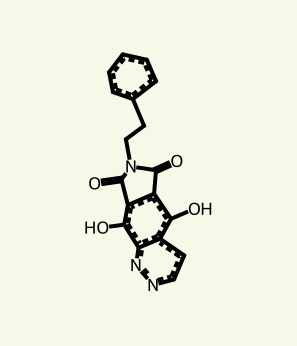 O=C1c2c(c(O)c3nnccc3c2O)C(=O)N1CCc1ccccc1